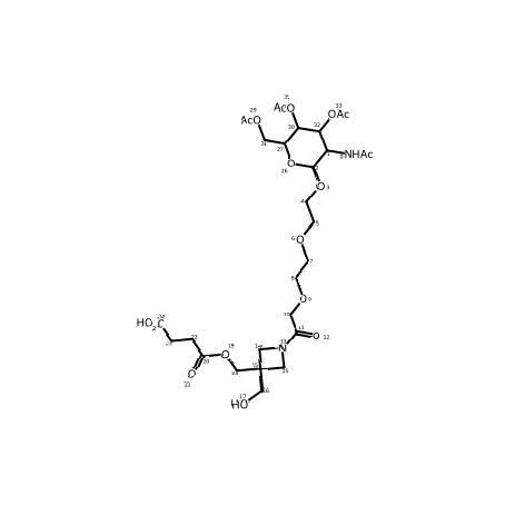 CC(=O)NC1C(OCCOCCOCC(=O)N2CC(CO)(COC(=O)CCC(=O)O)C2)OC(COC(C)=O)C(OC(C)=O)C1OC(C)=O